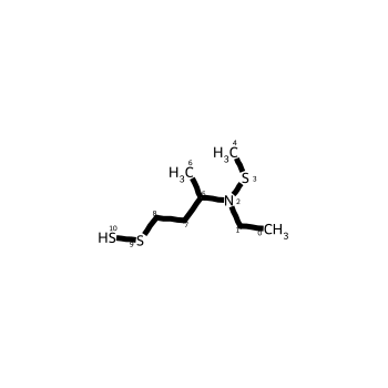 CCN(SC)C(C)CCSS